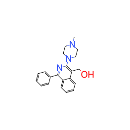 CN1CCN(c2nc(-c3ccccc3)c3ccccc3c2CO)CC1